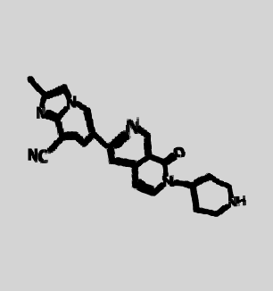 Cc1cn2cc(-c3cc4ccn(C5CCNCC5)c(=O)c4cn3)cc(C#N)c2n1